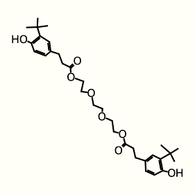 CC(C)(C)c1cc(CCC(=O)OCCOCCOCCOC(=O)CCc2ccc(O)c(C(C)(C)C)c2)ccc1O